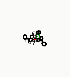 CC1=Cc2c(-c3ccccc3)cccc2[CH]1[Zr]([Cl])([CH2]c1ccccc1)([CH]1C(C)=Cc2c(-c3ccccc3)cccc21)[SiH](C)C